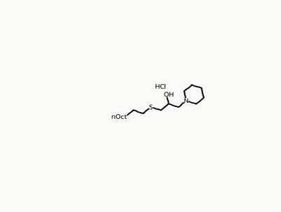 CCCCCCCCCCSCC(O)CN1CCCCC1.Cl